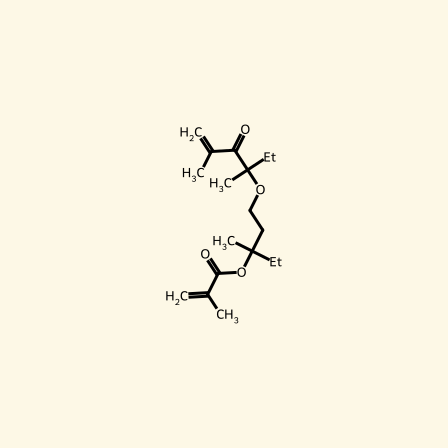 C=C(C)C(=O)OC(C)(CC)CCOC(C)(CC)C(=O)C(=C)C